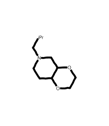 CC(C)CN1CCC2OCCOC2C1